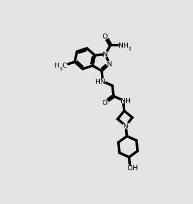 Cc1ccc2c(c1)c(NCC(=O)NC1CN(C3CCC(O)CC3)C1)nn2C(N)=O